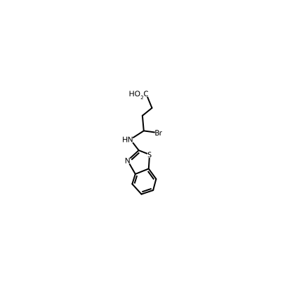 O=C(O)CCC(Br)Nc1nc2ccccc2s1